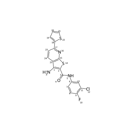 Nc1c(C(=O)Nc2ccc(F)c(Cl)c2)sc2nc(-c3cccs3)ccc12